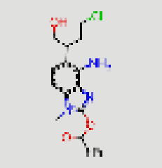 CCCC(=O)Oc1nc2c(N)c(C(CO)CCCl)ccc2n1C